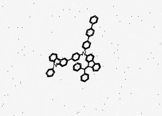 c1ccc(C(=C2c3ccccc3-c3ccc(N(c4ccc(-c5ccc(-c6ccccc6)cc5)cc4)c4ccc(-c5ccc6c(c5)c5ccccc5n6-c5ccccc5)cc4)cc32)c2ccccc2)cc1